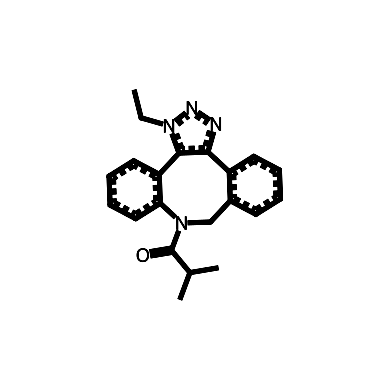 CCn1nnc2c1-c1ccccc1N(C(=O)C(C)C)Cc1ccccc1-2